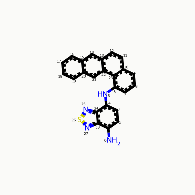 Nc1ccc(Nc2cccc3ccc4cc5ccccc5cc4c23)c2nsnc12